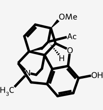 CO[C@]12C=C[C@@]3(C[C@@H]1C(C)=O)C1Cc4ccc(O)c5c4C3(CCN1C)C2O5